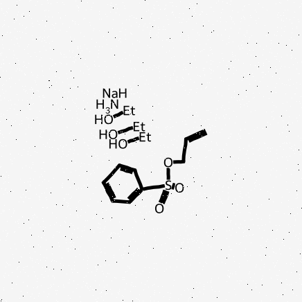 C=CCOS(=O)(=O)c1ccccc1.CCO.CCO.CCO.N.[NaH]